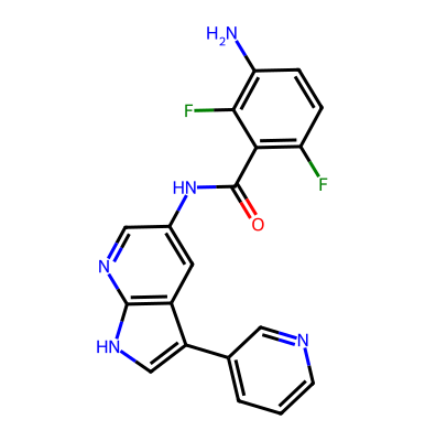 Nc1ccc(F)c(C(=O)Nc2cnc3[nH]cc(-c4cccnc4)c3c2)c1F